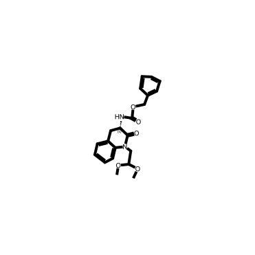 COC(CN1C(=O)[C@@H](NC(=O)OCc2ccccc2)Cc2ccccc21)OC